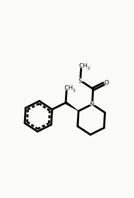 CSC(=O)N1CCCC[C@H]1C(C)c1ccccc1